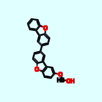 OBOc1ccc2oc3ccc(-c4ccc5oc6ccccc6c5c4)cc3c2c1